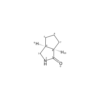 O=C1NC[C@H]2CCC[C@@H]12